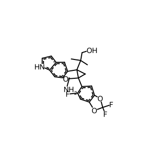 CC(C)(CO)C1(c2ccc3[nH]ccc3c2)CC1(C(N)=O)c1cc2c(cc1F)OC(F)(F)O2